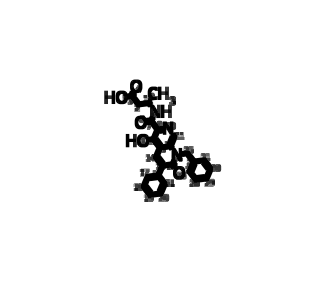 C[C@H](CC(=O)O)NC(=O)c1ncc2c(cc(-c3ccccc3)c(=O)n2Cc2ccccc2)c1O